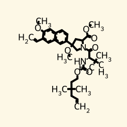 C=CCC(C)(C)CCOC(=O)N[C@H](C(=O)N1CC(OC)(c2ccc3cc(OC)c(C=C)cc3c2)CC1C(=O)OC)C(C)(C)C